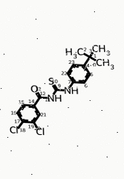 CC(C)(C)c1ccc(NC(=S)NC(=O)c2ccc(Cl)c(Cl)c2)cc1